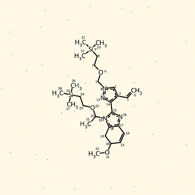 C=Cc1cn(COCC[Si](C)(C)C)nc1-c1nc2c(n1C(C)OCC[Si](C)(C)C)CC(OC)C=C2